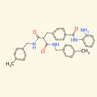 Cc1ccc(CNC(=O)C(Cc2ccc(C(=O)Nc3ccccc3N)cc2)C(=O)NCc2ccc(C)cc2)cc1